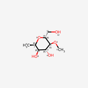 CO[C@H]1[C@H](O)[C@@H](O)[C@@H](C)O[C@@H]1CO